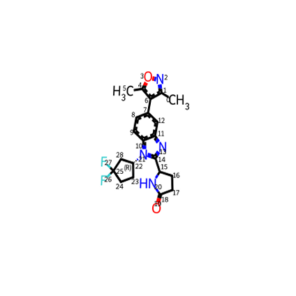 Cc1noc(C)c1-c1ccc2c(c1)nc(C1CCC(=O)N1)n2[C@@H]1CCC(F)(F)C1